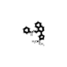 CN(C)C1=CCC(c2ccc3ccccc3c2/C=N/Nc2ccccc2)=C1